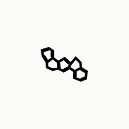 c1ccc2c(c1)CCc1cc3c(cc1-2)CCc1ccccc1-3